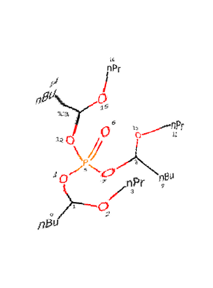 CCCCC(OCCC)OP(=O)(OC(CCCC)OCCC)OC(CCCC)OCCC